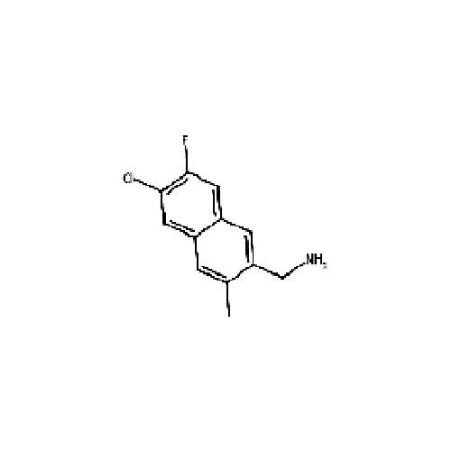 Cc1cc2cc(Cl)c(F)cc2cc1CN